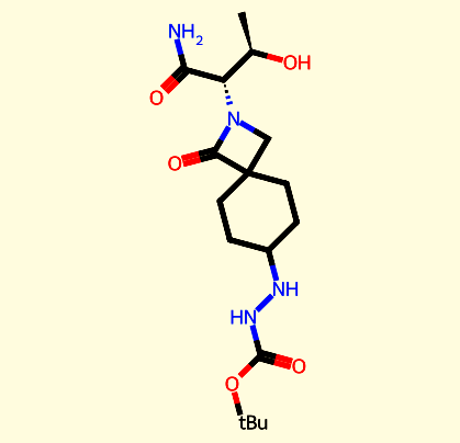 C[C@@H](O)[C@@H](C(N)=O)N1CC2(CCC(NNC(=O)OC(C)(C)C)CC2)C1=O